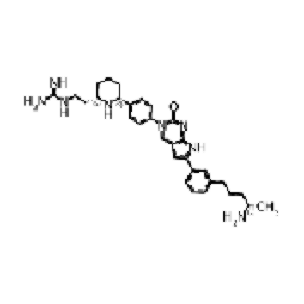 C[C@H](N)CCCc1cccc(-c2cc3cn(-c4ccc([C@@H]5CCC[C@@H](CCNC(=N)N)N5)cc4)c(=O)nc3[nH]2)c1